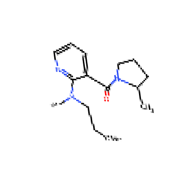 CCCN(CCOC)c1ncccc1C(=O)N1CCCC1C